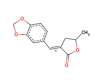 CC1C/C(=C\c2ccc3c(c2)OCO3)C(=O)O1